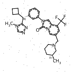 C[C@H]1CCCN(Cc2cc(C(F)(F)F)c3cn(-c4cccc([C@H](c5nncn5C)C5CCC5)c4)c(=O)n3c2)C1